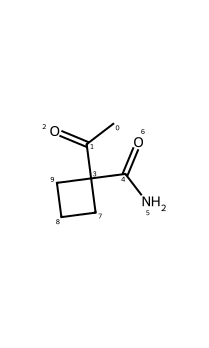 CC(=O)C1(C(N)=O)CCC1